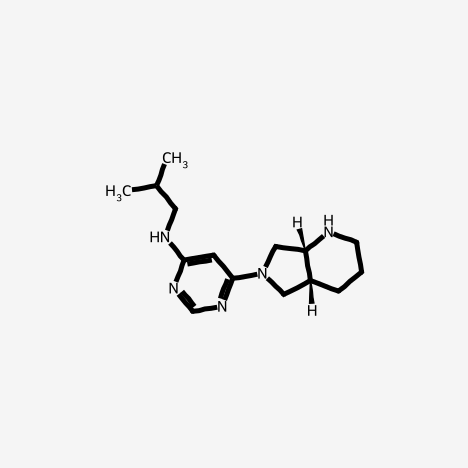 CC(C)CNc1cc(N2C[C@H]3CCCN[C@H]3C2)ncn1